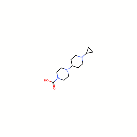 O=C(O)N1CCN(C2CCN(C3CC3)CC2)CC1